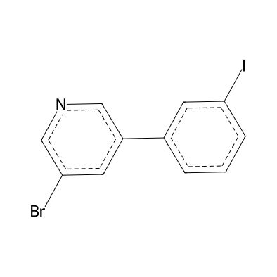 Brc1cncc(-c2cccc(I)c2)c1